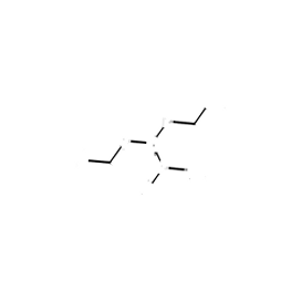 CCN[SiH](NCC)N(C)C